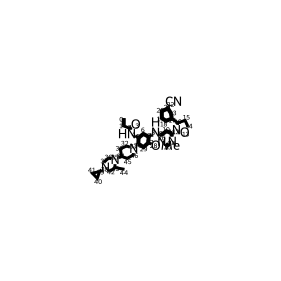 C=CC(=O)Nc1cc(Nc2cc(N3OCCC3c3cccc(C#N)c3)ncn2)c(OC)cc1N1CCC(N2CCN(C3CC3)CC2C)CC1